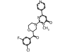 Cn1c(N2CCOC(C(=O)c3cc(F)cc(Cl)c3)C2)nc(-c2ccncc2)cc1=O